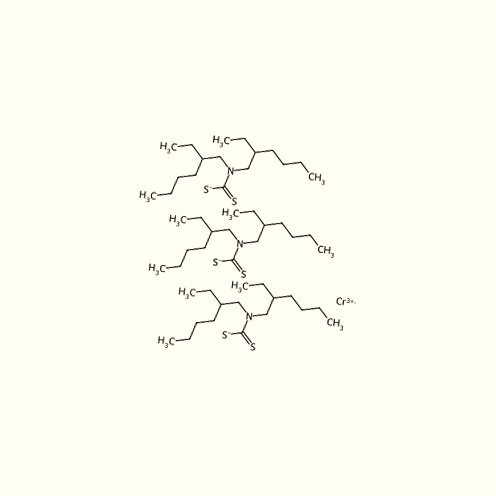 CCCCC(CC)CN(CC(CC)CCCC)C(=S)[S-].CCCCC(CC)CN(CC(CC)CCCC)C(=S)[S-].CCCCC(CC)CN(CC(CC)CCCC)C(=S)[S-].[Cr+3]